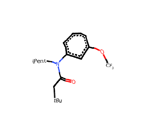 CCCC(C)N(C(=O)CC(C)(C)C)c1cccc(OC(F)(F)F)c1